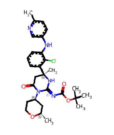 Cc1ccc(Nc2cccc([C@]3(C)CC(=O)N([C@@H]4CCO[C@@H](C)C4)/C(=N/C(=O)OC(C)(C)C)N3)c2Cl)cn1